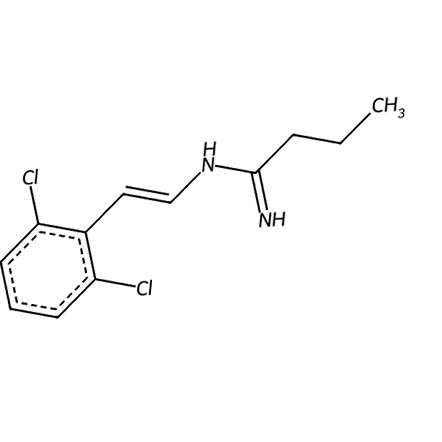 CCCC(=N)N/C=C/c1c(Cl)cccc1Cl